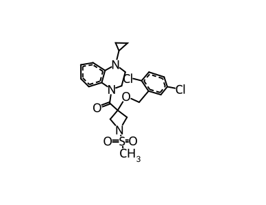 CS(=O)(=O)N1CC(OCc2cc(Cl)ccc2Cl)(C(=O)N2CCN(C3CC3)c3ccccc32)C1